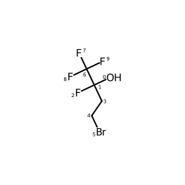 OC(F)(CCBr)C(F)(F)F